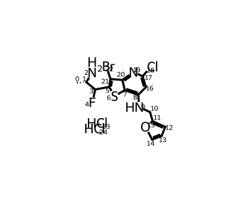 C[C@H](N)C(F)c1sc2c(NCc3ccco3)cc(Cl)nc2c1Br.Cl.Cl